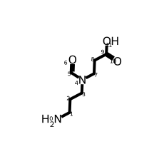 NCCCN(C=O)CCC(=O)O